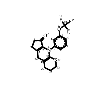 O=C1CCC2=C1N(c1cccc(OC(F)(F)F)c1)C1=C(CCCS1)C2